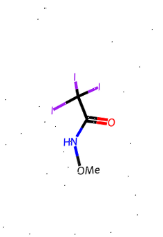 CONC(=O)C(I)(I)I